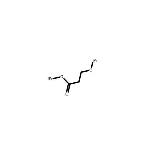 CC(C)OCCC(=O)OC(C)C